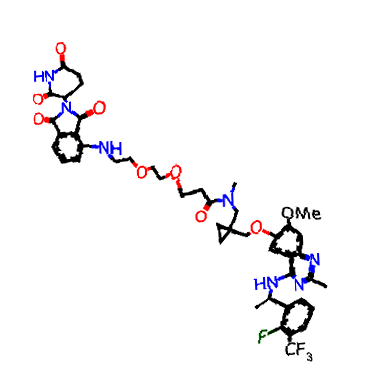 COc1cc2nc(C)nc(N[C@H](C)c3cccc(C(F)(F)F)c3F)c2cc1OCC1(CN(C)C(=O)CCOCCOCCNc2cccc3c2C(=O)N(C2CCC(=O)NC2=O)C3=O)CC1